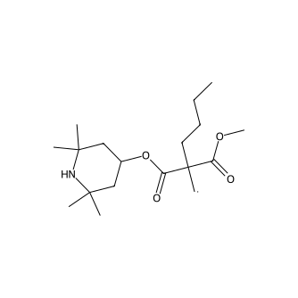 [CH2]C(CCCC)(C(=O)OC)C(=O)OC1CC(C)(C)NC(C)(C)C1